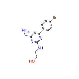 NCc1cc(-c2ccc(Br)cc2)nc(NCCO)n1